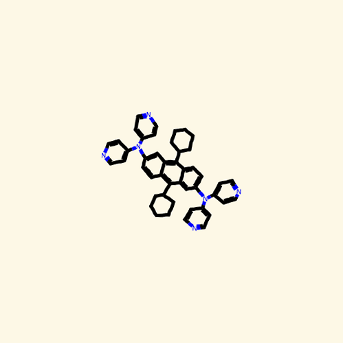 c1cc(N(c2ccncc2)c2ccc3c(C4CCCCC4)c4cc(N(c5ccncc5)c5ccncc5)ccc4c(C4CCCCC4)c3c2)ccn1